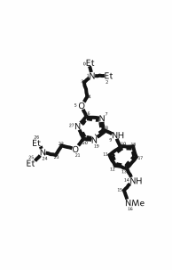 CCN(CC)CCOc1nc(Nc2ccc(NCNC)cc2)nc(OCCN(CC)CC)n1